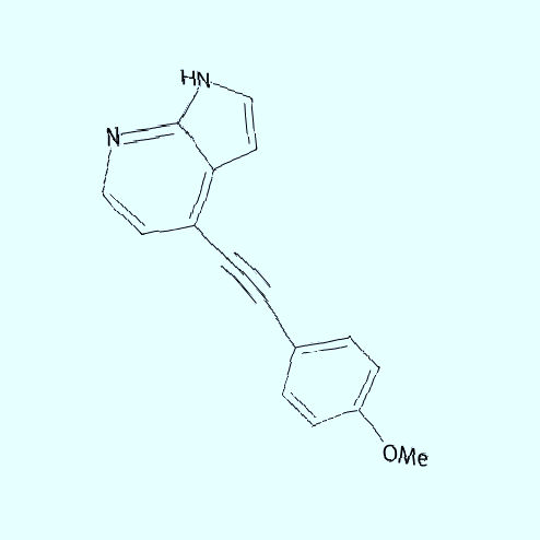 COc1ccc(C#Cc2ccnc3[nH]ccc23)cc1